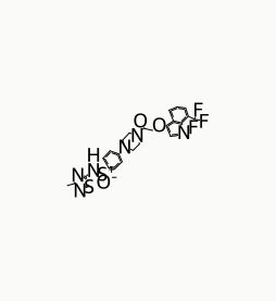 Cc1nsc(N[S+]([O-])c2ccc(N3CCN(C(=O)COc4ccnc5c(C(F)(F)F)cccc45)CC3)cc2)n1